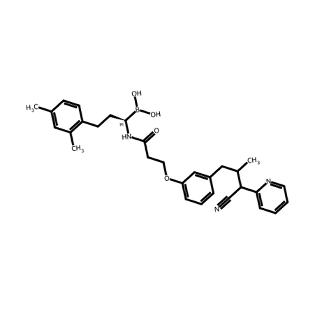 Cc1ccc(CC[C@H](NC(=O)CCOc2cccc(CC(C)C(C#N)c3ccccn3)c2)B(O)O)c(C)c1